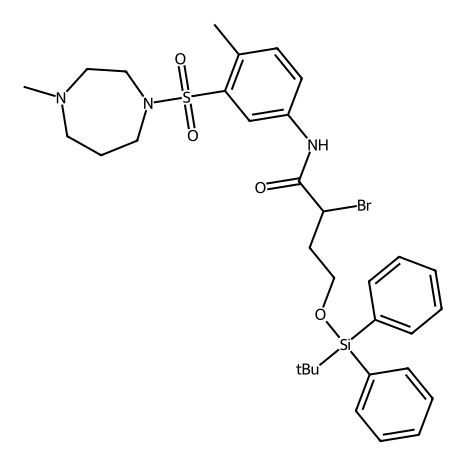 Cc1ccc(NC(=O)C(Br)CCO[Si](c2ccccc2)(c2ccccc2)C(C)(C)C)cc1S(=O)(=O)N1CCCN(C)CC1